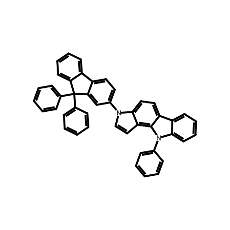 c1ccc(-n2c3ccccc3c3ccc4c(ccn4-c4ccc5c(c4)C(c4ccccc4)(c4ccccc4)c4ccccc4-5)c32)cc1